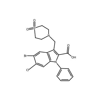 O=C(O)c1c(CN2CCS(=O)(=O)CC2)c2cc(Br)c(Cl)cc2n1-c1ccccc1